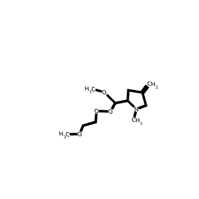 C=C1CC(C(OC)OOCCOC)N(C)C1